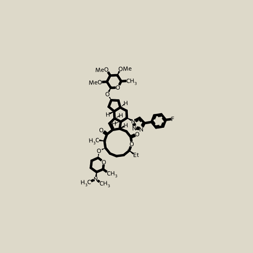 CC[C@H]1CCC[C@H](O[C@H]2CC[C@H](N(C)C)C(C)O2)[C@@H](C)C(=O)C2=C[C@H]3[C@@H]4C[C@H](O[C@@H]5OC(C)[C@H](OC)C(OC)C5OC)C[C@H]4C[C@@H](n4cc(-c5ccc(F)cc5)nn4)[C@H]3[C@@H]2CC(=O)O1